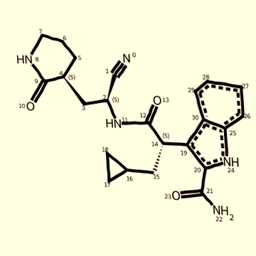 N#C[C@H](C[C@@H]1CCCNC1=O)NC(=O)[C@@H](CC1CC1)c1c(C(N)=O)[nH]c2ccccc12